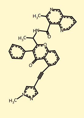 Cc1ncc2cccnc2c1C(=O)NC(C)c1oc2cccc(C#Cc3cnn(C)c3)c2c(=O)c1-c1ccccc1